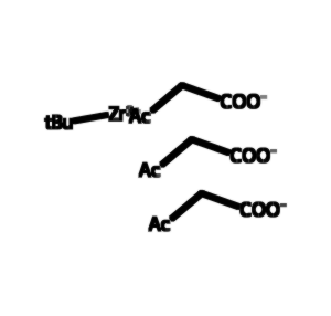 CC(=O)CC(=O)[O-].CC(=O)CC(=O)[O-].CC(=O)CC(=O)[O-].C[C](C)(C)[Zr+3]